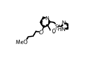 COCCCOc1ccnc(C[S+]([O-])c2ncc[nH]2)c1C